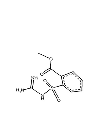 COC(=O)c1ccccc1S(=O)(=O)NC(=N)N